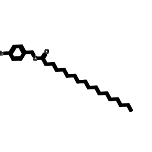 CCCCCCCCCCCCCCCCCC(=O)OCc1ccc(Br)cc1